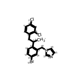 [CH2]C(Cc1ccc(Cl)cc1Cl)c1ccc(Br)cc1Cn1ccnc1